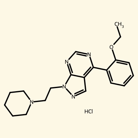 CCOc1ccccc1-c1ncnc2c1cnn2CCN1CCCCC1.Cl